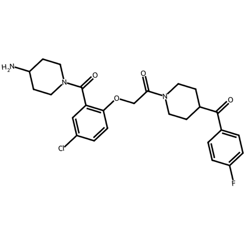 NC1CCN(C(=O)c2cc(Cl)ccc2OCC(=O)N2CCC(C(=O)c3ccc(F)cc3)CC2)CC1